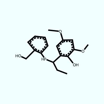 CCC(Pc1ccccc1CO)c1cc(OC)cc(OC)c1O